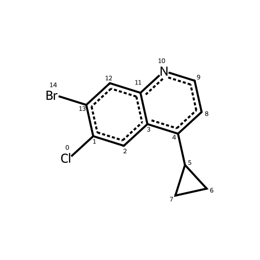 Clc1cc2c(C3CC3)ccnc2cc1Br